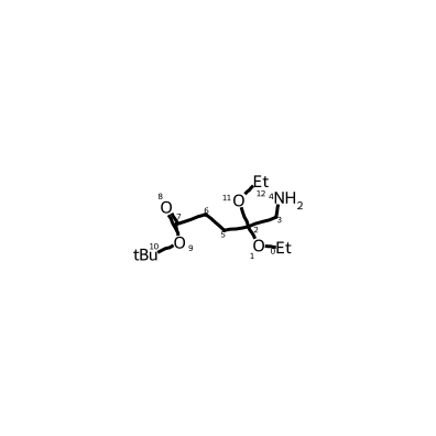 CCOC(CN)(CCC(=O)OC(C)(C)C)OCC